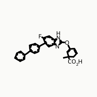 CC1(C(=O)O)C=C(Oc2nc3cc(-c4ccc(-c5ccccc5)cc4)c(F)cc3[nH]2)C=CC1